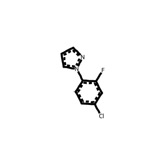 Fc1cc(Cl)c[c]c1-n1cccn1